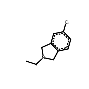 C[CH]N1Cc2ccc(Cl)cc2C1